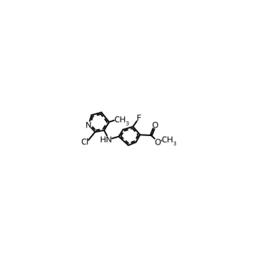 COC(=O)c1ccc(Nc2c(C)ccnc2Cl)cc1F